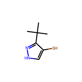 CC(C)(C)c1n[nH]cc1S